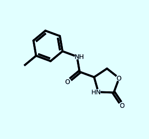 Cc1cccc(NC(=O)C2COC(=O)N2)c1